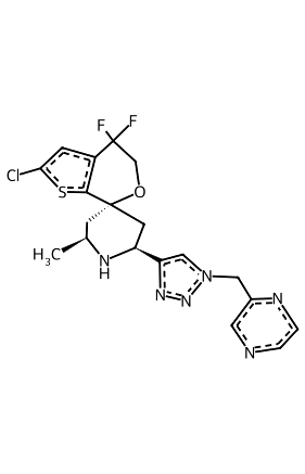 C[C@H]1C[C@@]2(C[C@@H](c3cn(Cc4cnccn4)nn3)N1)OCC(F)(F)c1cc(Cl)sc12